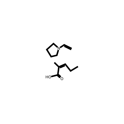 C=CN1CCCC1.CCC=C(C)C(=O)O